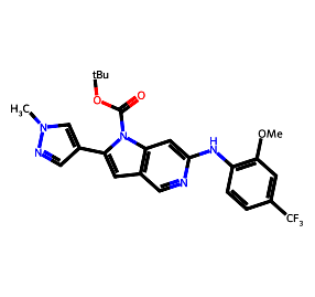 COc1cc(C(F)(F)F)ccc1Nc1cc2c(cn1)cc(-c1cnn(C)c1)n2C(=O)OC(C)(C)C